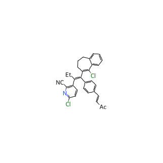 CC/C(=C(\C1=C(Cl)c2ccccc2CCC1)c1ccc(/C=C/C(C)=O)cc1)c1ccc(Cl)nc1C#N